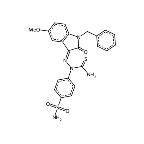 COc1ccc2c(c1)/C(=N/N(C(N)=S)c1ccc(S(N)(=O)=O)cc1)C(=O)N2Cc1ccccc1